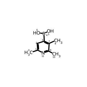 Cc1cc(B(O)O)c(C)c(C)n1